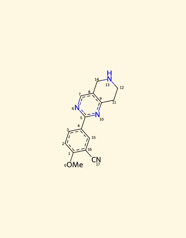 COc1ccc(-c2ncc3c(n2)CCNC3)cc1C#N